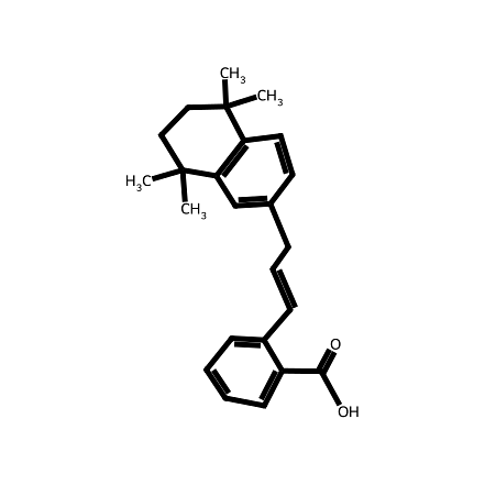 CC1(C)CCC(C)(C)c2cc(CC=Cc3ccccc3C(=O)O)ccc21